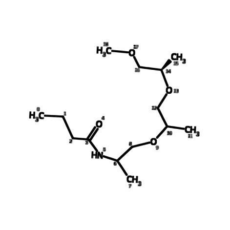 CCCC(=O)NC(C)COC(C)CO[C@H](C)COC